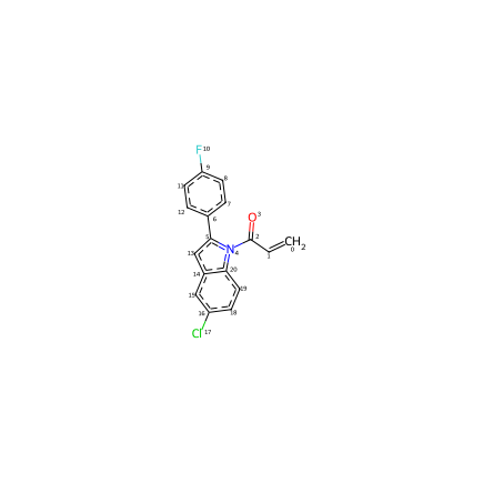 C=CC(=O)n1c(-c2ccc(F)cc2)cc2cc(Cl)ccc21